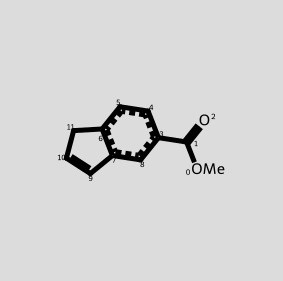 COC(=O)c1ccc2c(c1)C=CC2